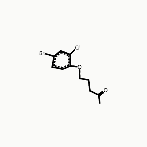 CC(=O)CCCOc1ccc(Br)cc1Cl